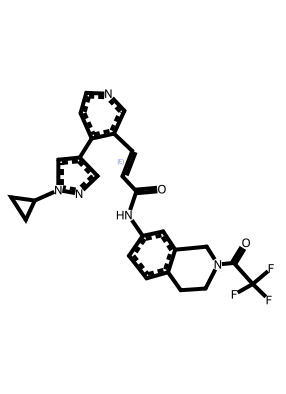 O=C(/C=C/c1cnccc1-c1cnn(C2CC2)c1)Nc1ccc2c(c1)CN(C(=O)C(F)(F)F)CC2